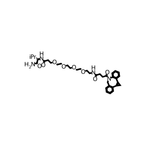 CC(C)[C@H](NC(=O)CCOCCOCCOCCOCCNC(=O)CCC(=O)N1Cc2ccccc2C2=C(C2)c2ccccc21)C(N)=O